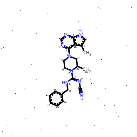 Cc1c[nH]c2ncnc(N3CCN(C(=NC#N)NCc4ccccc4)C(C)C3)c12